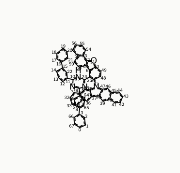 c1ccc(-c2ccc(C3=NC(c4cccc(-c5ccccc5)c4)NC(c4c(-n5c6cc7ccccc7cc6c6cc7ccccc7cc65)ccc5oc6c7ccccc7ccc6c45)=N3)cc2)cc1